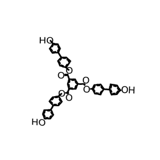 O=C(Oc1ccc(-c2ccc(O)cc2)cc1)c1cc(C(=O)Oc2ccc(-c3ccc(O)cc3)cc2)cc(C(=O)Oc2ccc(-c3ccc(O)cc3)cc2)c1